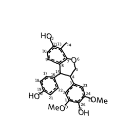 COc1cc(C2COc3c(ccc(O)c3C)C2c2ccc(O)cc2)cc(OC)c1O